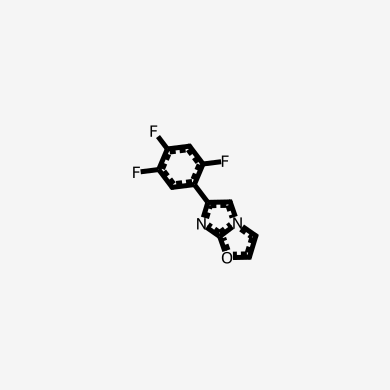 Fc1cc(F)c(-c2cn3ccoc3n2)cc1F